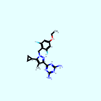 CCOc1cc(F)c(Cn2nc(-c3nc(N)nc(N)n3)c(C)c2C2CC2)c(F)c1